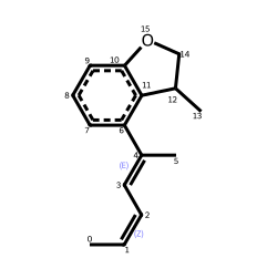 C/C=C\C=C(/C)c1cccc2c1C(C)CO2